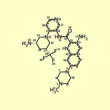 CN1CCN(c2ccc3cc(N)c(C(=O)Nc4cnccc4N4C[C@@H](N)C[C@@H](C(F)(F)F)C4)nc3c2)CC1